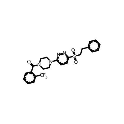 O=C(c1ccccc1C(F)(F)F)N1CCN(c2ccc(S(=O)(=O)CCc3ccccc3)nn2)CC1